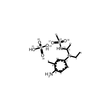 CCN(c1ccc(N)c(C)c1)C(C)NS(C)(=O)=O.O=S(=O)(O)O